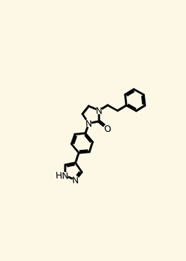 O=C1N(CCc2ccccc2)CCN1c1ccc(-c2cn[nH]c2)cc1